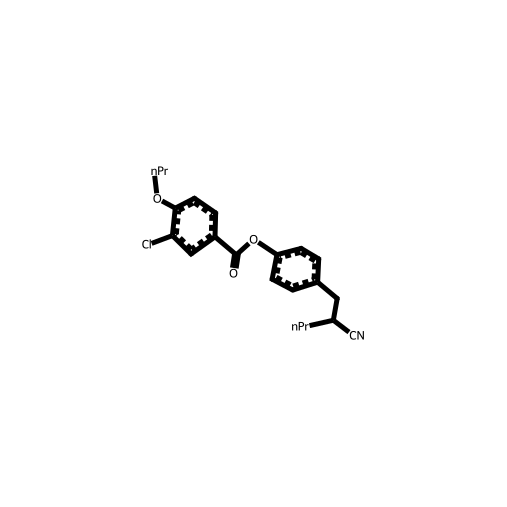 CCCOc1ccc(C(=O)Oc2ccc(CC(C#N)CCC)cc2)cc1Cl